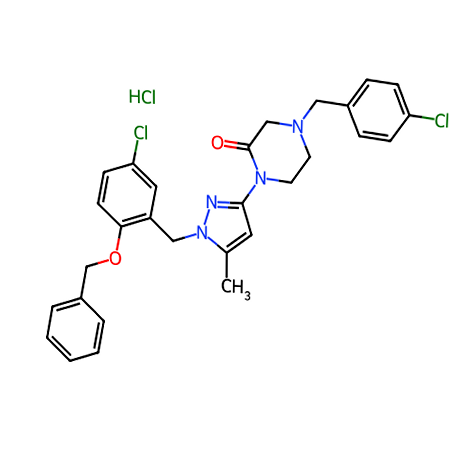 Cc1cc(N2CCN(Cc3ccc(Cl)cc3)CC2=O)nn1Cc1cc(Cl)ccc1OCc1ccccc1.Cl